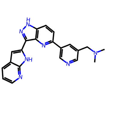 CN(C)Cc1cncc(-c2ccc3[nH]nc(-c4cc5cccnc5[nH]4)c3n2)c1